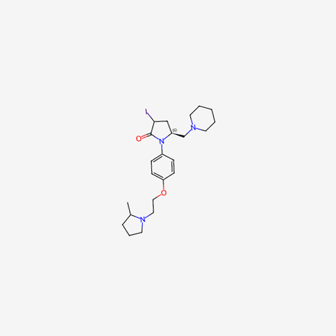 CC1CCCN1CCOc1ccc(N2C(=O)C(I)C[C@H]2CN2CCCCC2)cc1